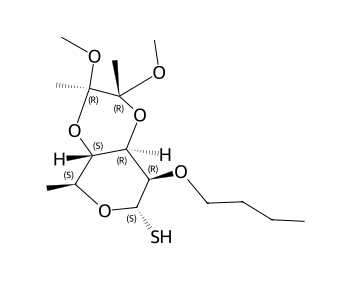 CCCCO[C@@H]1[C@@H]2O[C@@](C)(OC)[C@](C)(OC)O[C@H]2[C@H](C)O[C@H]1S